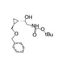 CC(C)(C)OC(=O)NCC(O)[C@H]1C[C@@H]1COCc1ccccc1